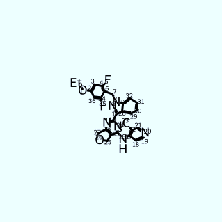 CCOc1cc(F)c(Cn2nc(-c3nc4c(c(Nc5ccncc5C)n3)COC4)c3ccccc32)c(F)c1